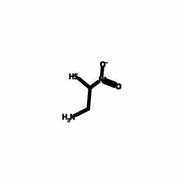 NCC(S)[N+](=O)[O-]